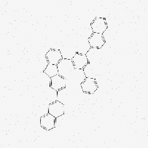 c1ccc(-c2nc(-c3ccc4cnccc4c3)nc(-c3cccc4oc5cc(-c6ccc7ccccc7c6)ccc5c34)n2)cc1